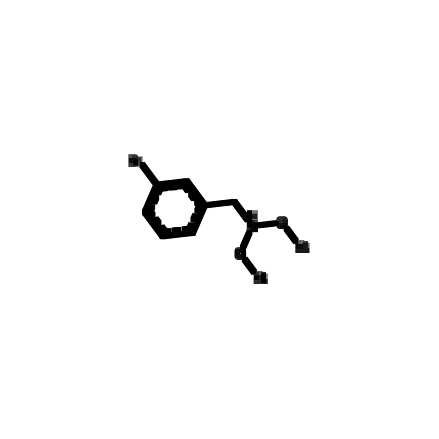 CCO[SiH](Cc1cccc(Br)c1)OCC